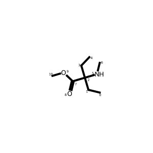 CCC(CC)(NC)C(=O)OC